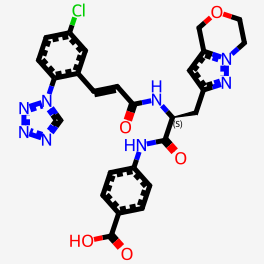 O=C(C=Cc1cc(Cl)ccc1-n1cnnn1)N[C@@H](Cc1cc2n(n1)CCOC2)C(=O)Nc1ccc(C(=O)O)cc1